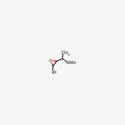 CNC(C)C1OC1C(C)C